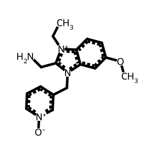 CC[n+]1c(CN)n(Cc2ccc[n+]([O-])c2)c2cc(OC)ccc21